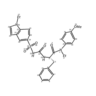 CCN(C(=O)[C@H](Cc1ccccc1)NC(=O)NS(=O)(=O)c1ccc2c(ccn2CC)c1)c1ccc(OC)cc1